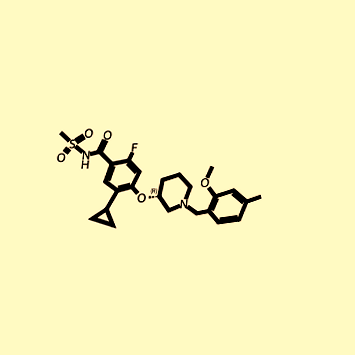 COc1cc(C)ccc1CN1CCC[C@@H](Oc2cc(F)c(C(=O)NS(C)(=O)=O)cc2C2CC2)C1